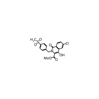 COC(=O)c1c(O)c2cc(Cl)ccc2c(=O)n1Cc1ccc(S(C)(=O)=O)cc1